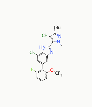 Cn1nc(C(C)(C)C)c(Cl)c1-c1nc2cc(-c3c(F)cccc3OC(F)(F)F)cc(Cl)c2[nH]1